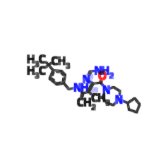 C=C(NCc1ccc(C(C)(C)C)cc1)/C(C)=C(\N=C/N)C(=O)N1CCCN(C2CCCC2)CC1